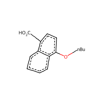 CCCCOc1ccc(C(=O)O)c2ccccc12